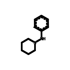 [c]1ccccc1NN1CCCCC1